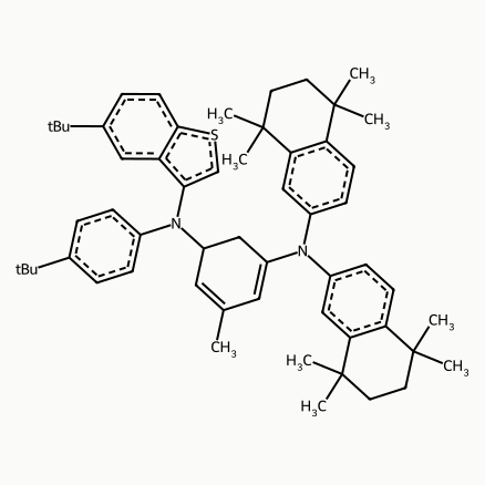 CC1=CC(N(c2ccc(C(C)(C)C)cc2)c2csc3ccc(C(C)(C)C)cc23)CC(N(c2ccc3c(c2)C(C)(C)CCC3(C)C)c2ccc3c(c2)C(C)(C)CCC3(C)C)=C1